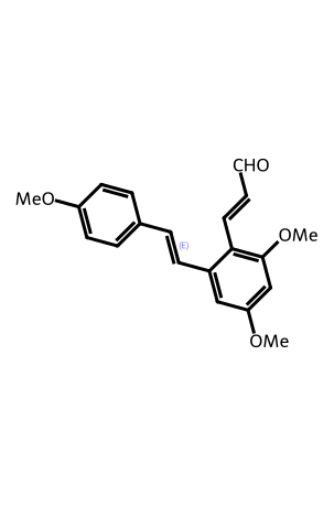 COc1ccc(/C=C/c2cc(OC)cc(OC)c2C=CC=O)cc1